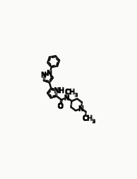 CCN1CCC(N(C)C(=O)c2ccc(-c3cnn(-c4ccccc4)c3)[nH]2)CC1